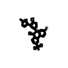 Cn1ccc(-c2cc(NC(=O)c3ccc(S(C)(=O)=O)cc3-c3ccc(F)cc3)ccc2Cl)n1